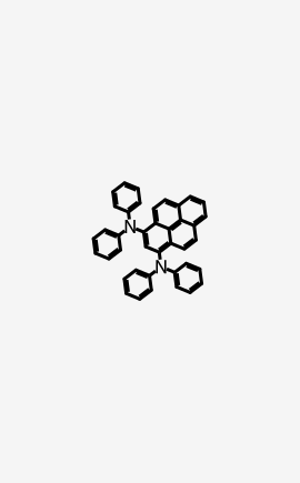 c1ccc(N(c2ccccc2)c2cc(N(c3ccccc3)c3ccccc3)c3ccc4cccc5ccc2c3c54)cc1